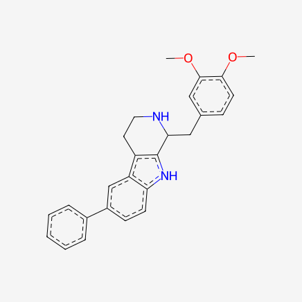 COc1ccc(CC2NCCc3c2[nH]c2ccc(-c4ccccc4)cc32)cc1OC